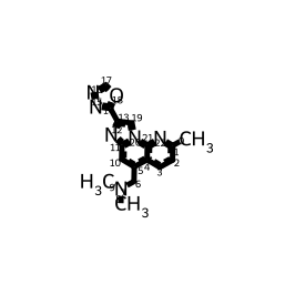 Cc1ccc2c(CN(C)C)cc3nc(-c4nnco4)cn3c2n1